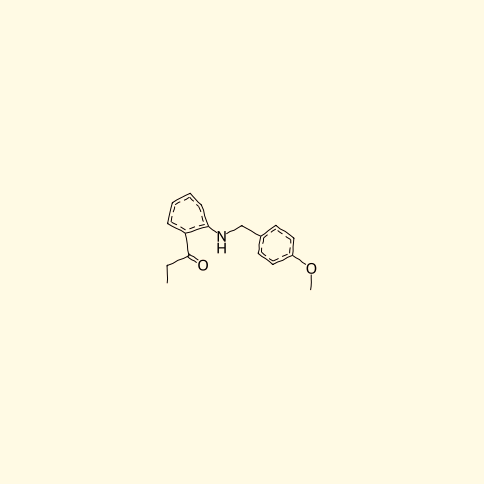 CCC(=O)c1ccccc1NCc1ccc(OC)cc1